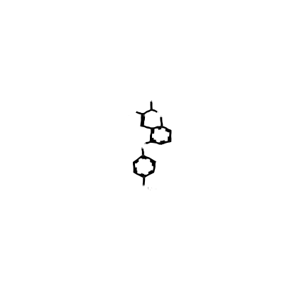 COc1ccc(Oc2cccc3c2C=C(C(=O)O)C(C(F)(F)F)O3)cc1